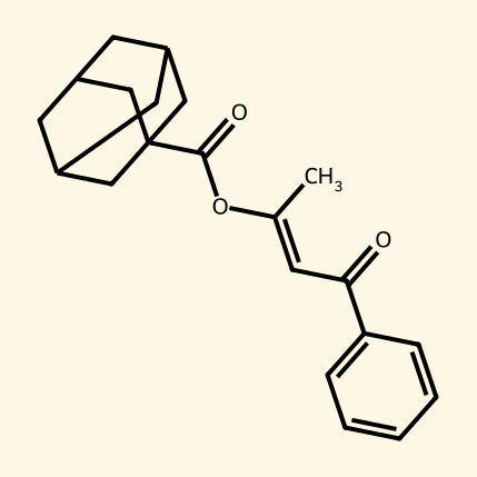 C/C(=C\C(=O)c1ccccc1)OC(=O)C12CC3CC(CC(C3)C1)C2